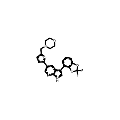 FC1(F)Oc2cccc(-c3c[nH]c4ncc(-c5ccc(CN6CCOCC6)s5)cc34)c2O1